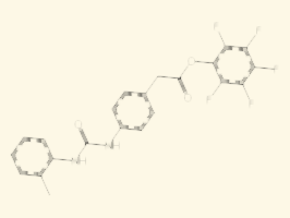 Cc1ccccc1NC(=O)Nc1ccc(CC(=O)Oc2c(F)c(F)c(F)c(F)c2F)cc1